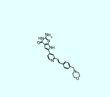 Nc1nc2[nH]c(-c3ccnc(C=Cc4ccc(CN5CCOCC5)cc4)c3)cc2c(=O)[nH]1